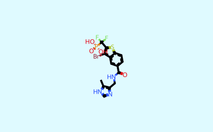 Cc1[nH]cnc1CNC(=O)c1ccc2sc(C(F)(F)P(=O)(O)O)c(Br)c2c1